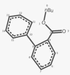 CCCCOC(=O)c1ccccc1-c1ccccc1